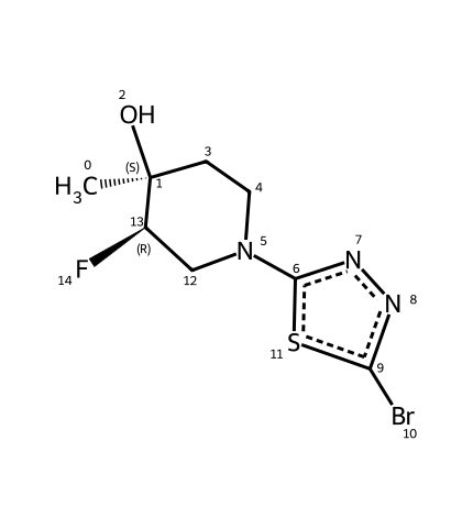 C[C@]1(O)CCN(c2nnc(Br)s2)C[C@H]1F